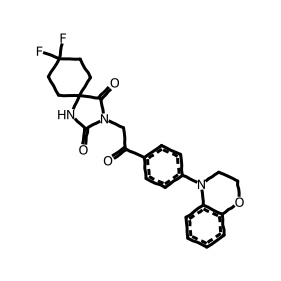 O=C(CN1C(=O)NC2(CCC(F)(F)CC2)C1=O)c1ccc(N2CCOc3ccccc32)cc1